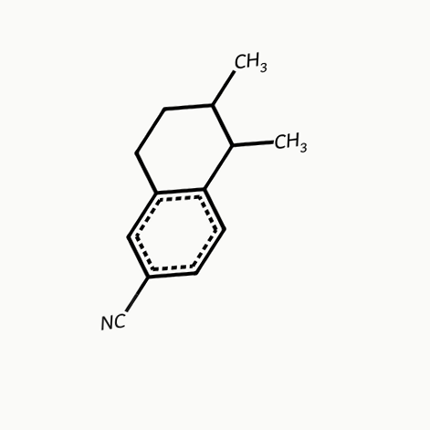 CC1CCc2cc(C#N)ccc2C1C